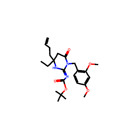 C=CCCC1(CC)CC(=O)N(Cc2ccc(OC)cc2OC)C(=NC(=O)OC(C)(C)C)N1